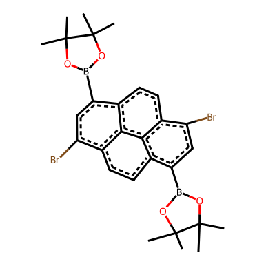 CC1(C)OB(c2cc(Br)c3ccc4c(B5OC(C)(C)C(C)(C)O5)cc(Br)c5ccc2c3c54)OC1(C)C